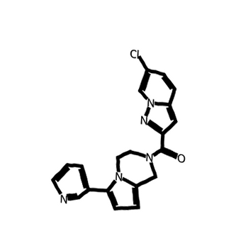 O=C(c1cc2ccc(Cl)cn2n1)N1CCn2c(ccc2-c2cccnc2)C1